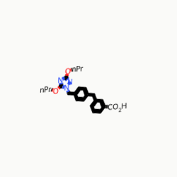 CCCOc1nc(OCCC)n(Cc2ccc(Cc3cccc(C(=O)O)c3)cc2)n1